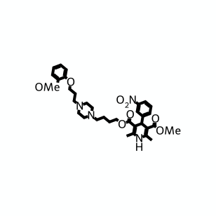 COC(=O)C1=C(C)NC(C)=C(C(=O)OCCCCN2CCN(CCCOc3ccccc3OC)CC2)C1c1cccc([N+](=O)[O-])c1